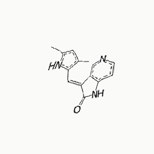 Cc1cc(C)c(C=C2C(=O)Nc3ccncc32)[nH]1